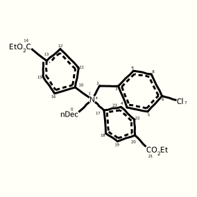 CCCCCCCCCC[N+](Cc1ccc(Cl)cc1)(c1ccc(C(=O)OCC)cc1)c1ccc(C(=O)OCC)cc1